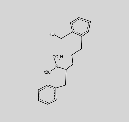 CC(C)(C)N(C(=O)O)C(CCCc1ccccc1CO)Cc1ccccc1